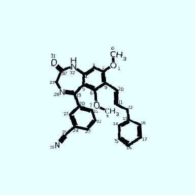 COc1cc2c(c(OC)c1C=CCc1ccccc1)C(c1cccc(C#N)c1)=NCC(=O)N2